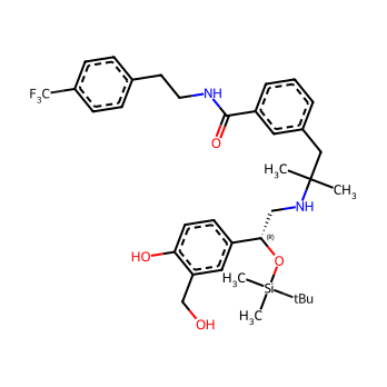 CC(C)(Cc1cccc(C(=O)NCCc2ccc(C(F)(F)F)cc2)c1)NC[C@H](O[Si](C)(C)C(C)(C)C)c1ccc(O)c(CO)c1